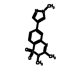 CC1=Nc2cc(-c3cnn(C)c3)ccc2S(=O)(=O)N1C